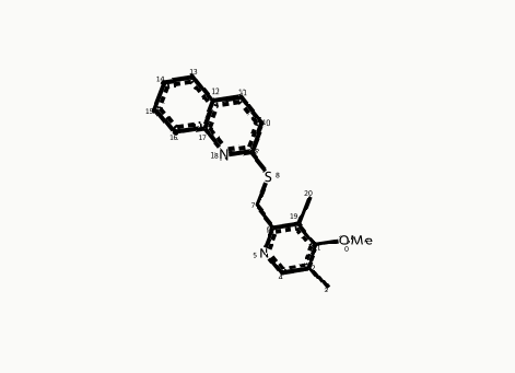 COc1c(C)cnc(CSc2ccc3ccccc3n2)c1C